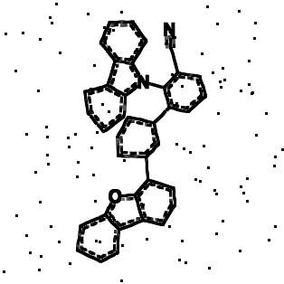 N#Cc1cccc(-c2cccc(-c3cccc4c3oc3ccccc34)c2)c1-n1c2ccccc2c2ccccc21